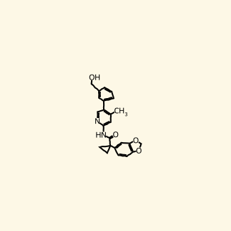 Cc1cc(NC(=O)C2(c3ccc4c(c3)OCO4)CC2)ncc1-c1cccc(CO)c1